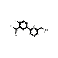 OCc1cncc(-c2ccc(F)c(C(F)F)c2)n1